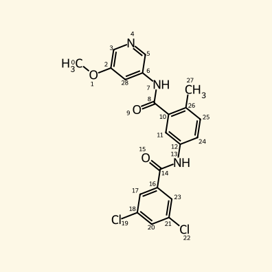 COc1cncc(NC(=O)c2cc(NC(=O)c3cc(Cl)cc(Cl)c3)ccc2C)c1